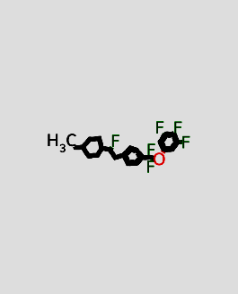 CCC1CCC(C(F)Cc2ccc(C(F)(F)Oc3cc(F)c(F)c(F)c3)cc2)CC1